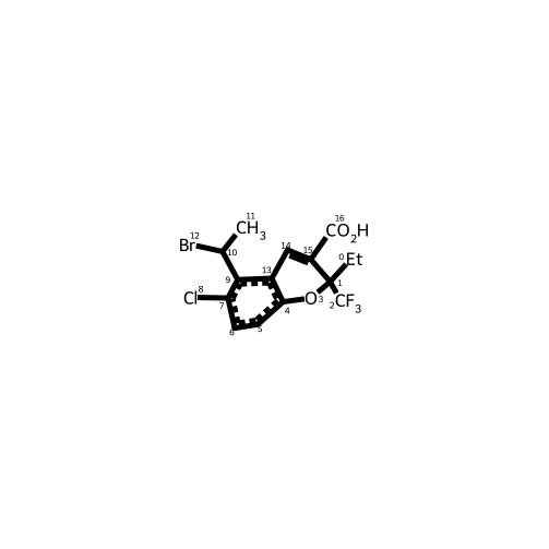 CCC1(C(F)(F)F)Oc2ccc(Cl)c(C(C)Br)c2C=C1C(=O)O